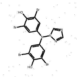 Oc1c(Br)cc(N(c2cc(Br)c(O)c(Br)c2)n2cncn2)cc1Br